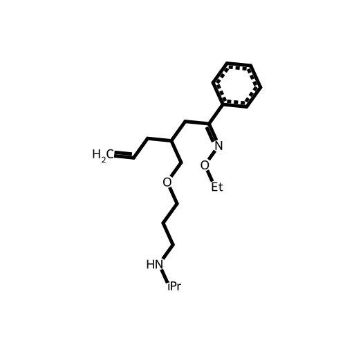 C=CCC(COCCCNC(C)C)CC(=NOCC)c1ccccc1